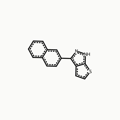 c1ccc2cc(-c3n[nH]c4sccc34)ccc2c1